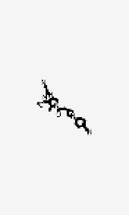 COc1nc(C#N)nc2c1C(C)N(C(=O)CC1CN(c3ccc(C#N)cc3)C1)C2